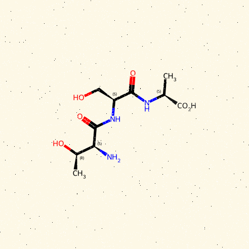 C[C@H](NC(=O)[C@H](CO)NC(=O)[C@@H](N)[C@@H](C)O)C(=O)O